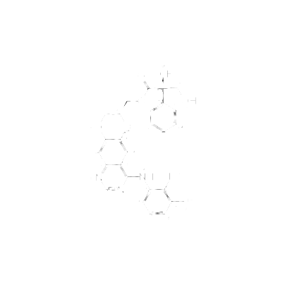 O=C(OC[C@@H]1COc2cc3ncnc(Nc4cccc(Br)c4F)c3cc2O1)[C@](CO)(c1ccccc1)C(F)(F)F